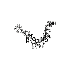 Cn1c(C(=O)Nc2cccc(-c3cccc(NC(=O)c4nc5c(n4C)CCN(Cc4cc[nH]n4)C5)c3Cl)c2Cl)nc2c1CCN(CCC13CCC(CC1)C3)C2